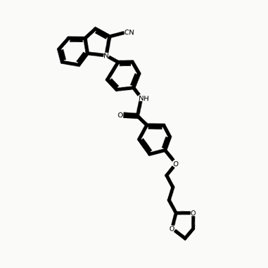 N#Cc1cc2ccccc2n1-c1ccc(NC(=O)c2ccc(OCCCC3OCCO3)cc2)cc1